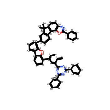 C=C/C(=C\C(=C/C)c1cccc2c1oc1c(-c3ccc4c(c3)C(C)(C)c3ccc5nc(-c6ccccc6)oc5c3-4)cccc12)c1nc(-c2ccccc2)nc(C2C=CC=CC2)n1